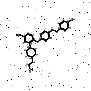 Nc1ncc(Cc2ccc(OCc3ccc(Cl)cc3)cc2)c(N2CCN(CCO)CC2)n1